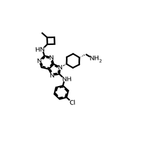 CC1CCC1Nc1ncc2nc(Nc3cccc(Cl)c3)n([C@H]3CC[C@@H](CN)CC3)c2n1